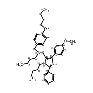 CCCCOc1ccc(CN(CCCC)Cc2c(-c3ccc(OC)cc3)nc(-c3ccccc3)n2CCCC)cc1